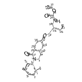 Cc1ccccc1N1CCc2cc(OC/C(=C/F)CNC(=O)OC(C)(C)C)ccc2C1=O